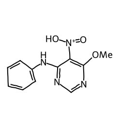 COc1ncnc(Nc2ccccc2)c1[N+](=O)O